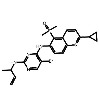 C=CC(C)Nc1ncc(Br)c(Nc2ccc3nc(C4CC4)ccc3c2P(C)(C)=O)n1